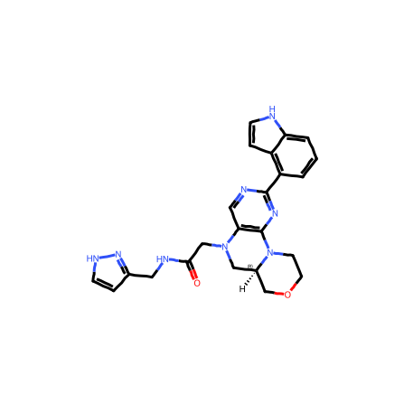 O=C(CN1C[C@@H]2COCCN2c2nc(-c3cccc4[nH]ccc34)ncc21)NCc1cc[nH]n1